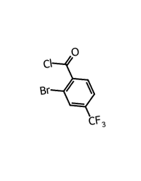 O=C(Cl)c1ccc(C(F)(F)F)cc1Br